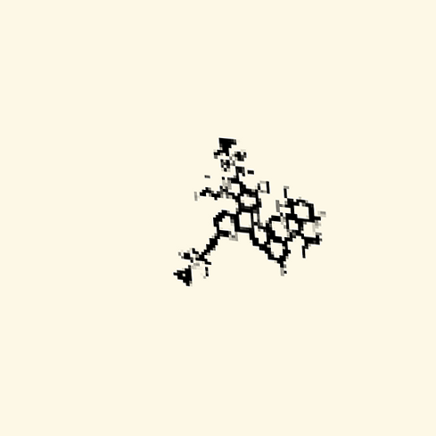 CC1(S(=O)(=O)Nc2nn(CC(F)F)c3c(-c4ccc(C#CC(C)(C)S(=O)(=O)C5CC5)nc4/C(=C/c4cc(F)cc(F)c4)NC(=O)Cn4nc(C(F)F)c5c4C(F)(F)CCC5(F)F)ccc(Cl)c23)CC1